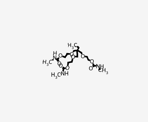 CCC(COCCOC(=O)NC)(COCCOC(=O)NC)COCCOC(=O)NC